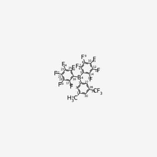 Cc1cc(B(c2c(F)c(F)c(F)c(F)c2F)c2c(F)c(F)c(F)c(F)c2F)cc(C(F)(F)F)c1